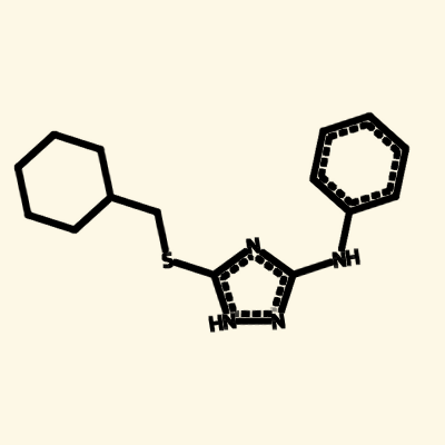 c1ccc(Nc2n[nH]c(SCC3CCCCC3)n2)cc1